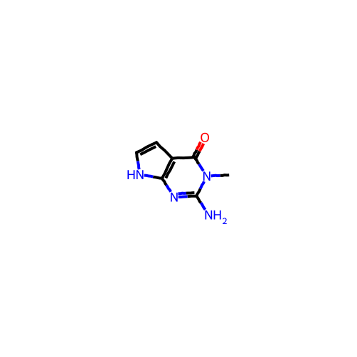 Cn1c(N)nc2[nH]ccc2c1=O